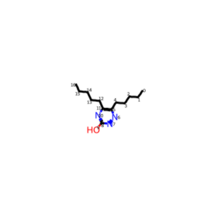 CCCCCc1nnc(O)nc1CCCCC